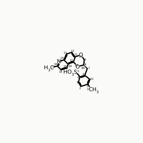 Cc1ccc(S(=O)(=O)O)c(C[C@@H]2COc3ccc4nc(C)ccc4c3O2)c1